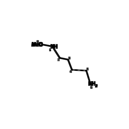 CONCCCCN